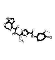 C[C@H](NC(=O)c1ncnc2[nH]ccc12)c1ncc(C(=O)Nc2ccc(Cl)c(C(F)(F)F)c2)s1